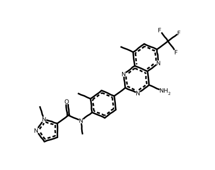 Cc1cc(-c2nc(N)c3nc(C(F)(F)F)cc(C)c3n2)ccc1N(C)C(=O)c1ccnn1C